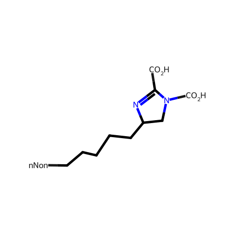 CCCCCCCCCCCCCCC1CN(C(=O)O)C(C(=O)O)=N1